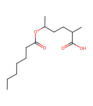 CCCCCCC(=O)OC(C)CCC(C)C(=O)O